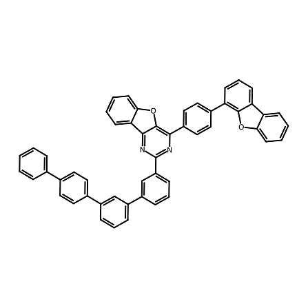 c1ccc(-c2ccc(-c3cccc(-c4cccc(-c5nc(-c6ccc(-c7cccc8c7oc7ccccc78)cc6)c6oc7ccccc7c6n5)c4)c3)cc2)cc1